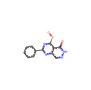 O=[S+]c1nc(-c2ccccc2)nc2cn[nH]c(=O)c12